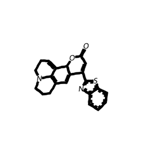 O=C1C=C(c2nc3ccccc3s2)C2=CC3=C4C(=CCCN4CCC3)C2O1